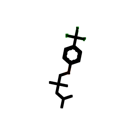 CC(C)CC(C)(C)CSc1ccc(C(F)(F)F)cc1